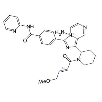 COC/C=C/C(=O)N1CCCCC1C1=C2C=NC=C[N+]2(N)C(c2ccc(C(=O)Nc3ccccn3)cc2)=N1